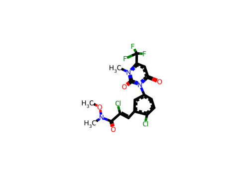 CON(C)C(=O)C(Cl)=Cc1cc(-n2c(=O)cc(C(F)(F)F)n(C)c2=O)ccc1Cl